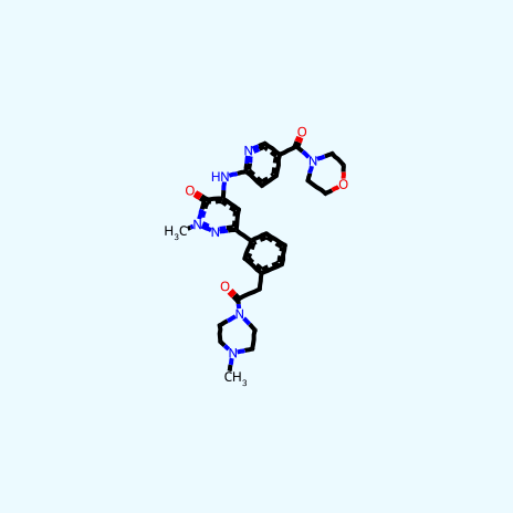 CN1CCN(C(=O)Cc2cccc(-c3cc(Nc4ccc(C(=O)N5CCOCC5)cn4)c(=O)n(C)n3)c2)CC1